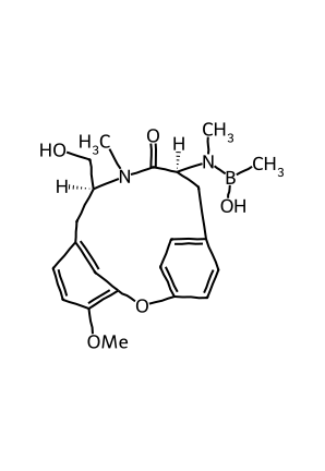 COc1ccc2cc1Oc1ccc(cc1)C[C@H](N(C)B(C)O)C(=O)N(C)[C@H](CO)C2